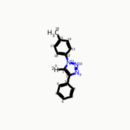 [2H]c1c(-c2ccccc2)nnn1-c1ccc(C)cc1